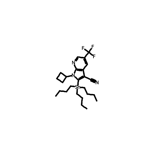 CCC[CH2][Sn]([CH2]CCC)([CH2]CCC)[c]1c(C#N)c2cc(C(F)(F)F)cnc2n1C1CCC1